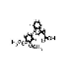 COc1ccc(OCC2(c3ccccc3)CC2C(=O)O)cc1OC